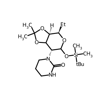 CC[C@H]1OC(O[Si](C)(C)C(C)(C)C)[C@H](N2CCCNC2=O)C2OC(C)(C)O[C@H]21